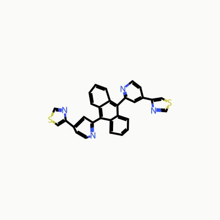 c1ccc2c(-c3cc(-c4cscn4)ccn3)c3ccccc3c(-c3cc(-c4cscn4)ccn3)c2c1